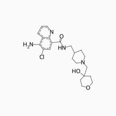 Nc1c(Cl)cc(C(=O)NCC2CCN(CC3(O)CCOCC3)CC2)c2ncccc12